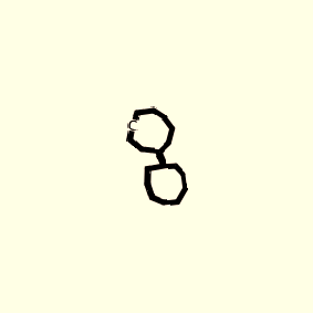 C1CCCCC(=C2CCCCCCCC2)CCC1